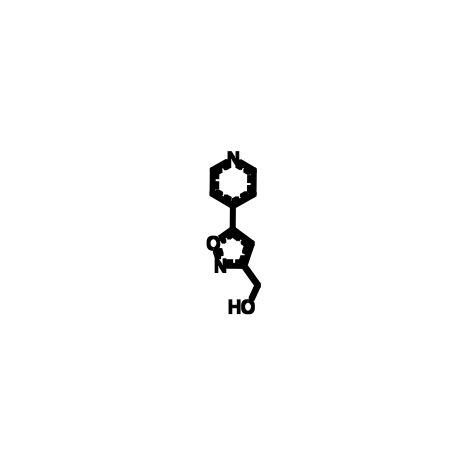 OCc1cc(-c2ccncc2)on1